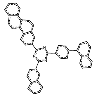 c1ccc2cc(-c3nc(-c4ccc(-c5cccc6ccccc56)cc4)nc(-c4ccc5c(ccc6c7ccccc7ccc56)c4)n3)ccc2c1